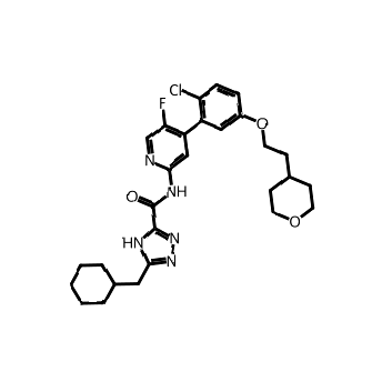 O=C(Nc1cc(-c2cc(OCCC3CCOCC3)ccc2Cl)c(F)cn1)c1nnc(CC2CCCCC2)[nH]1